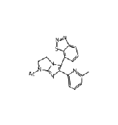 CC(=O)N1CCn2c1nc(-c1cccc(C)n1)c2-c1cccc2nnsc12